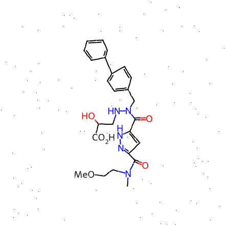 COCCN(C)C(=O)c1cc(C(=O)N(Cc2ccc(-c3ccccc3)cc2)NCC(O)C(=O)O)[nH]n1